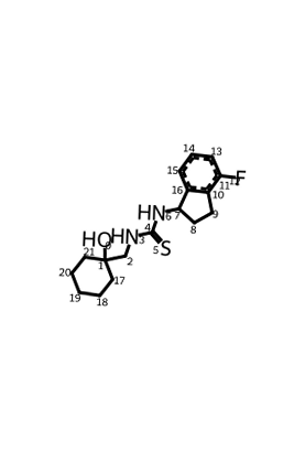 OC1(CNC(=S)NC2CCc3c(F)cccc32)CCCCC1